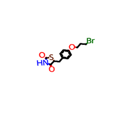 O=C1NC(=O)C(Cc2ccc(OCCCBr)cc2)S1